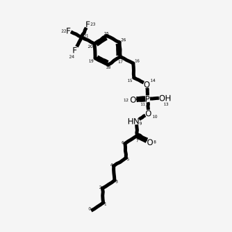 CCCCCCCC(=O)NOP(=O)(O)OCCc1ccc(C(F)(F)F)cc1